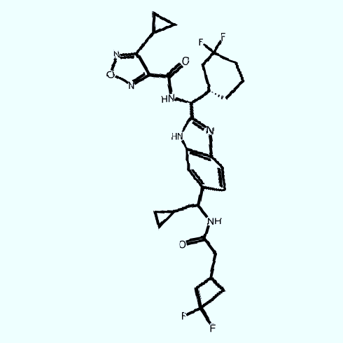 O=C(CC1CC(F)(F)C1)NC(c1ccc2nc([C@@H](NC(=O)c3nonc3C3CC3)[C@H]3CCCC(F)(F)C3)[nH]c2c1)C1CC1